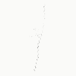 CCCCCCCCCCCCCCCCCCCC(CCCCCCCCCCCCCCCCCC)C[N+](C)(C)CCO.[Br-]